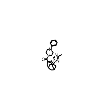 Cc1ncn(C23CC4CC(CC(C(=O)N5CCN(c6ccccc6)CC5)(C4)C2)C3)n1